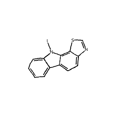 In1c2ccccc2c2ccc3ncsc3c21